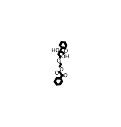 O=C(OCCOCCC(O)(C(=O)O)c1ccccc1)C(=O)c1ccccc1